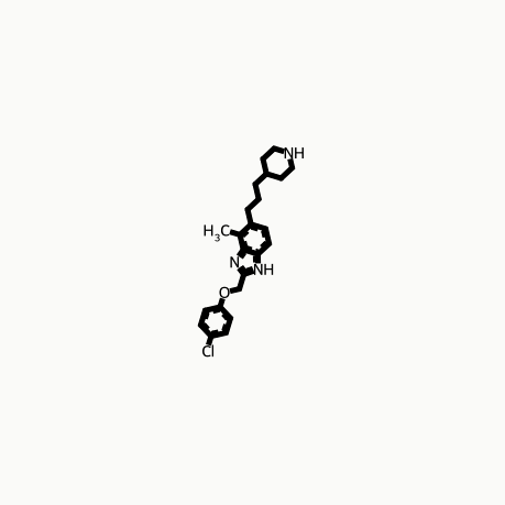 Cc1c(CCCC2CCNCC2)ccc2[nH]c(COc3ccc(Cl)cc3)nc12